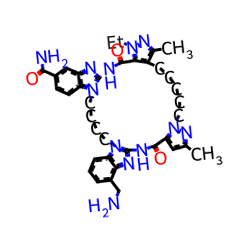 CCn1nc(C)c2c1C(=O)Nc1nc3cc(C(N)=O)ccc3n1CCCCn1c(nc3c(CN)cccc31)NC(=O)c1cc(C)nn1CCCCC2